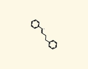 [C](=CCCc1ccccc1)c1ccccc1